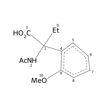 CCC(NC(C)=O)(C(=O)O)c1ccccc1OC